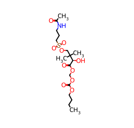 CCCCOC(=O)OCOC(=O)[C@H](O)C(C)(C)COS(=O)(=O)CCCNC(C)=O